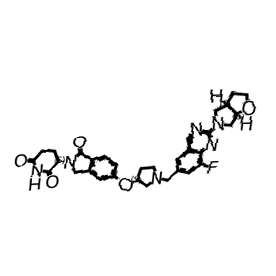 O=C1CC[C@H](N2Cc3cc(O[C@H]4CCN(Cc5cc(F)c6nc(N7C[C@@H]8CCO[C@@H]8C7)ncc6c5)C4)ccc3C2=O)C(=O)N1